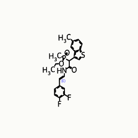 CCOP(C)(=O)C(C(=O)N/C=C/c1ccc(F)c(F)c1)c1csc2ccc(C)cc12